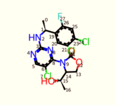 C[C@H](Nc1ncc(Cl)c(N2C(=O)OCC2[C@@H](C)O)n1)c1cc(Cl)c(Cl)cc1F